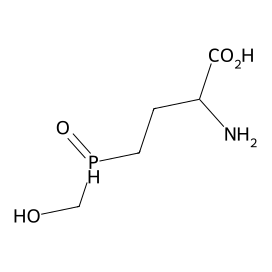 NC(CC[PH](=O)CO)C(=O)O